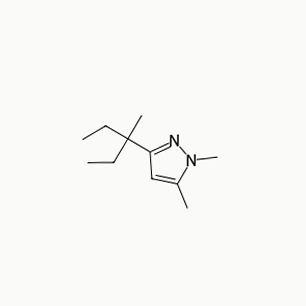 CCC(C)(CC)c1cc(C)n(C)n1